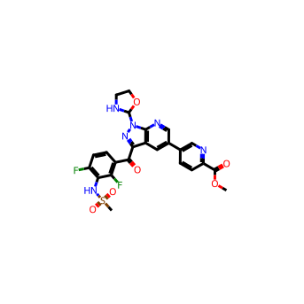 COC(=O)c1ccc(-c2cnc3c(c2)c(C(=O)c2ccc(F)c(NS(C)(=O)=O)c2F)nn3C2NCCO2)cn1